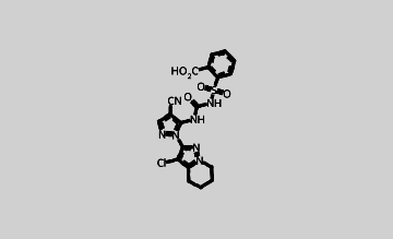 N#Cc1cnn(-c2nn3c(c2Cl)CCCC3)c1NC(=O)NS(=O)(=O)c1ccccc1C(=O)O